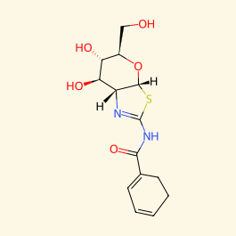 O=C(NC1=N[C@@H]2[C@@H](O)[C@H](O)[C@@H](CO)O[C@@H]2S1)C1=CC=CCC1